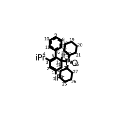 CC(C)C1=CC(C(C)C)=C(c2ccccc2)C(C(C)C)(P(=O)(C2CCCCC2)C2CCCCC2)C1